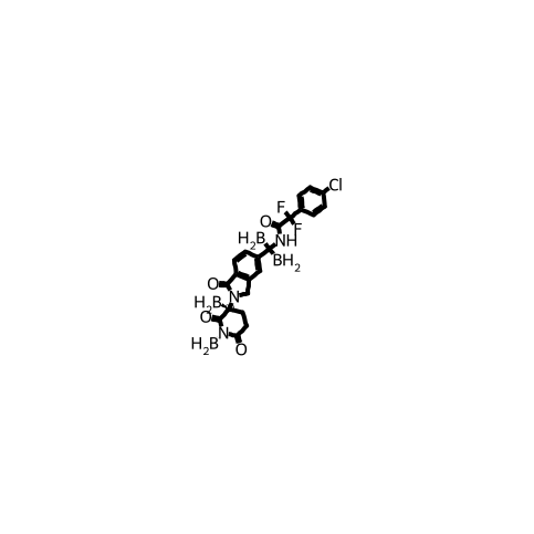 BN1C(=O)CC[C@@](B)(N2Cc3cc(C(B)(B)NC(=O)C(F)(F)c4ccc(Cl)cc4)ccc3C2=O)C1=O